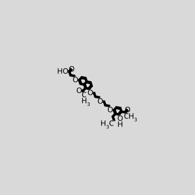 CCCc1c(OCCCOCCCOc2ccc3ccc(OCCC(=O)O)cc3c2C(C)=O)ccc(C(C)=O)c1O